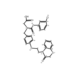 O=C(O)CN(Cc1ccc(OCCN2C(=O)CSc3ccccc32)cc1)C(=O)Oc1cccc(Cl)c1